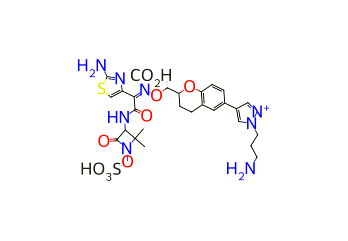 C[n+]1cc(-c2ccc3c(c2)CCC([C@H](O/N=C(\C(=O)NC2C(=O)N(OS(=O)(=O)O)C2(C)C)c2csc(N)n2)C(=O)O)O3)cn1CCCN